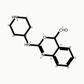 O=CC1OC(NC2CCNCC2)=Nc2ccccc21